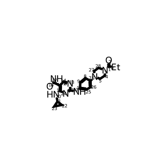 CCC(=O)N1CCN(c2ccc(Nc3ncc(C(N)=O)c(NC4CC4)n3)cc2)CC1